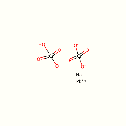 [Na+].[O]=[Cr](=[O])([O-])[O-].[O]=[Cr](=[O])([O-])[OH].[Pb+2]